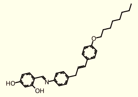 CCCCCCCCOc1ccc(C=CCc2ccc(N=Cc3ccc(O)cc3O)cc2)cc1